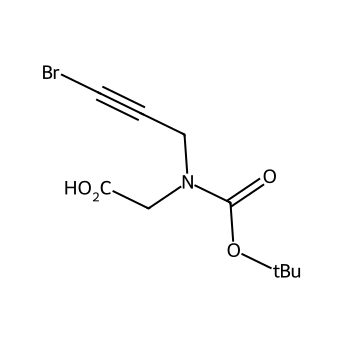 CC(C)(C)OC(=O)N(CC#CBr)CC(=O)O